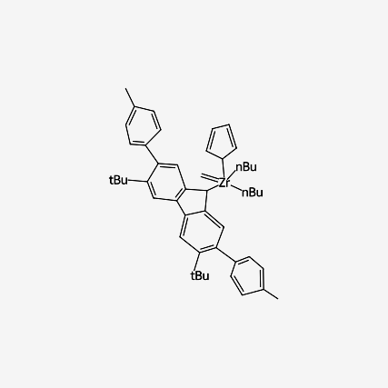 [CH2]=[Zr]([CH2]CCC)([CH2]CCC)([CH]1C=CC=C1)[CH]1c2cc(-c3ccc(C)cc3)c(C(C)(C)C)cc2-c2cc(C(C)(C)C)c(-c3ccc(C)cc3)cc21